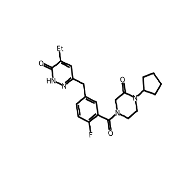 CCc1cc(Cc2ccc(F)c(C(=O)N3CCN(C4CCCC4)C(=O)C3)c2)n[nH]c1=O